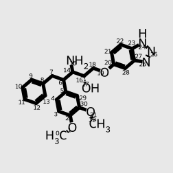 COc1ccc(C(Cc2ccccc2)C(N)[C@@H](O)COc2ccc3[nH]nnc3c2)cc1OC